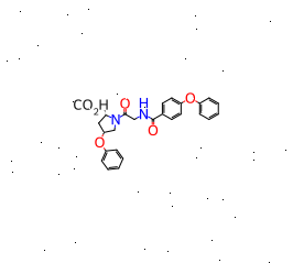 O=C(NCC(=O)N1CC(Oc2ccccc2)C[C@@H]1C(=O)O)c1ccc(Oc2ccccc2)cc1